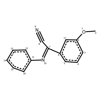 COc1cccc(/C(C#N)=N/c2ccccc2)c1